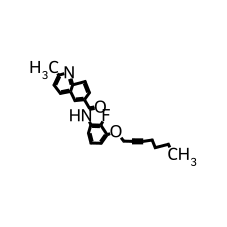 CCCCC#CCOc1cccc(NC(=O)c2ccc3nc(C)ccc3c2)c1F